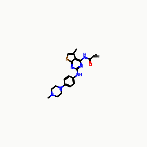 CCCCC(=O)Nc1nc(Nc2ccc(N3CCN(C)CC3)cc2)nc2scc(C)c12